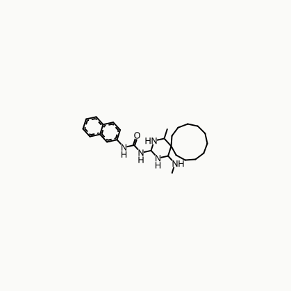 CNC1NC(NC(=O)Nc2ccc3ccccc3c2)NC(C)C12CCCCCCCCCC2